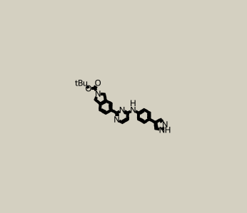 CC(C)(C)OC(=O)N1Cc2ccc(-c3nccc(Nc4ccc(-c5cn[nH]c5)cc4)n3)cc2C1